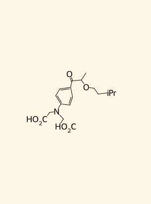 CC(C)CCOC(C)C(=O)c1ccc(N(CC(=O)O)CC(=O)O)cc1